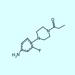 CCC(=O)N1CCN(c2ccc(N)cc2F)CC1